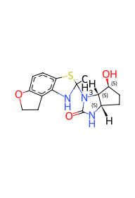 CC1(N2C(=O)N[C@H]3CC[C@H](O)[C@H]32)Nc2c(ccc3c2CCO3)S1